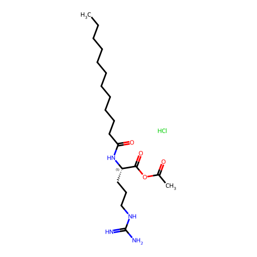 CCCCCCCCCCCC(=O)N[C@@H](CCCNC(=N)N)C(=O)OC(C)=O.Cl